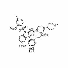 COCCc1ccccc1C1(OC(=O)N2CCN(C3CCN(C)CC3)CC2)C(=O)N(S(=O)(=O)c2ccc(C)cc2OC)c2ccc(OC)cc21.Cl.Cl